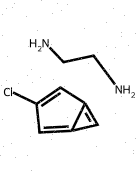 Clc1cc2cc-2c1.NCCN